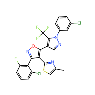 Cc1csc(-c2c(-c3c(F)cccc3Cl)noc2-c2cnn(-c3cccc(Cl)c3)c2C(F)(F)F)n1